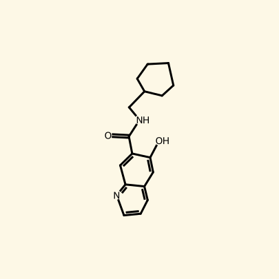 O=C(NCC1CCCCC1)c1cc2ncccc2cc1O